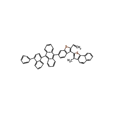 C=Cc1sc2cc(-c3c4ccccc4c(-c4ccc(-c5ccccc5)c5ccccc45)c4ccccc34)ccc2c1-c1sc2c(ccc3ccccc32)c1C